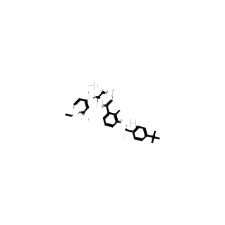 CCn1ccc(Nc2nc(-c3cccc(NC(=O)c4ccc(C(C)(C)C)cc4)c3C)cn(C)c2=O)cc1=O